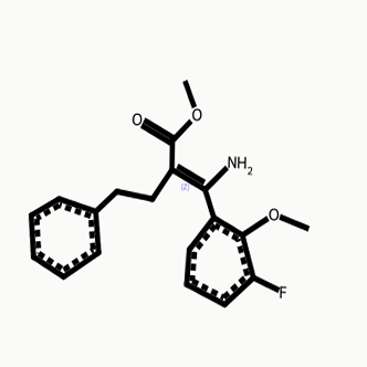 COC(=O)/C(CCc1ccccc1)=C(\N)c1cccc(F)c1OC